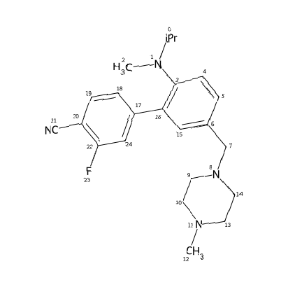 CC(C)N(C)c1ccc(CN2CCN(C)CC2)cc1-c1ccc(C#N)c(F)c1